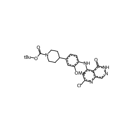 COc1cc(C2CCN(C(=O)OC(C)(C)C)CC2)ccc1Nc1cc(Cl)nc2cn[nH]c(=O)c12